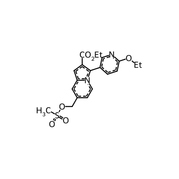 CCOC(=O)c1cc2cc(COS(C)(=O)=O)ccn2c1-c1ccc(OCC)nc1